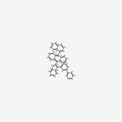 c1ccc(-c2cccc(-c3c(-c4c5ccccc5c(-c5cccc6ccccc56)c5ccccc45)oc4ccccc34)c2)cc1